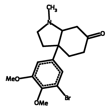 COc1cc(C23CCC(=O)CC2N(C)CC3)cc(Br)c1OC